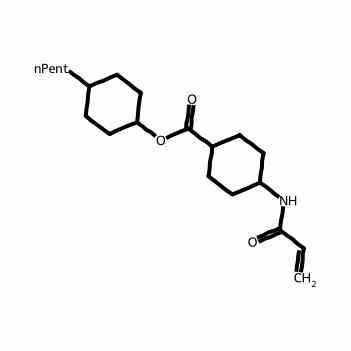 C=CC(=O)NC1CCC(C(=O)OC2CCC(CCCCC)CC2)CC1